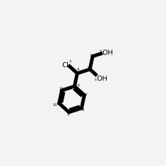 OCC(O)C(Cl)c1ccccc1